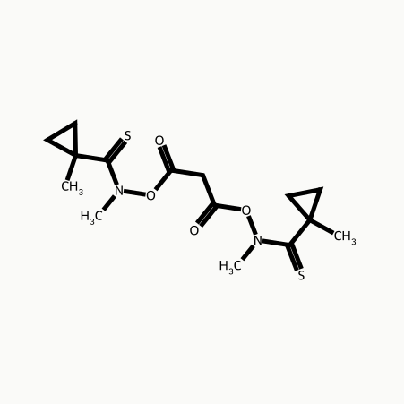 CN(OC(=O)CC(=O)ON(C)C(=S)C1(C)CC1)C(=S)C1(C)CC1